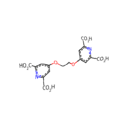 O=C(O)c1cc(OCCOc2cc(C(=O)O)nc(C(=O)O)c2)cc(C(=O)O)n1